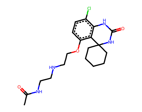 CC(=O)NCCNCCOc1ccc(Cl)c2c1C1(CCCCC1)NC(=O)N2